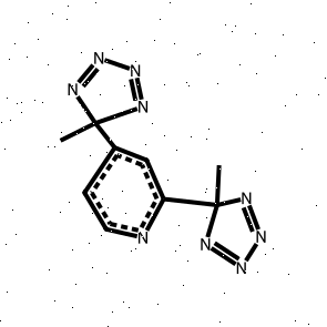 CC1(c2ccnc(C3(C)N=NN=N3)c2)N=NN=N1